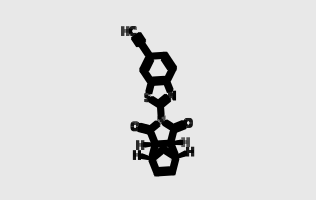 C#Cc1ccc2nc(N3C(=O)[C@@H]4[C@H](C3=O)[C@@H]3C=C[C@H]4C3)sc2c1